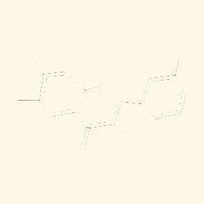 O=C(O)c1cccc(-c2oc3cc(O)c(O)cc3c(=O)c2O)c1